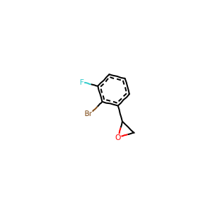 Fc1cccc(C2CO2)c1Br